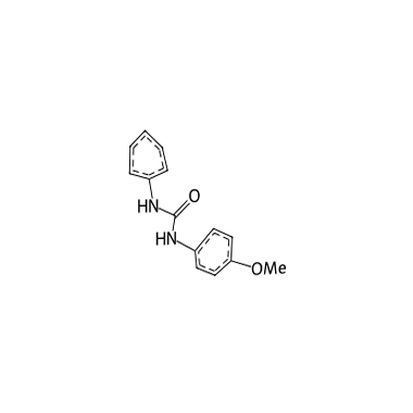 COc1ccc(NC(=O)Nc2ccccc2)cc1